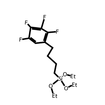 CCO[Si](CCCCc1cc(F)c(F)c(F)c1F)(OCC)OCC